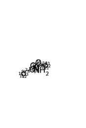 NN(C(=O)OCCCc1ccccc1)C(C=O)CCc1ccccc1